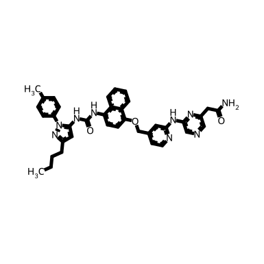 CCCCc1cc(NC(=O)Nc2ccc(OCc3ccnc(Nc4cncc(CC(N)=O)n4)c3)c3ccccc23)n(-c2ccc(C)cc2)n1